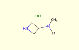 CCN(C)C1CNC1.Cl